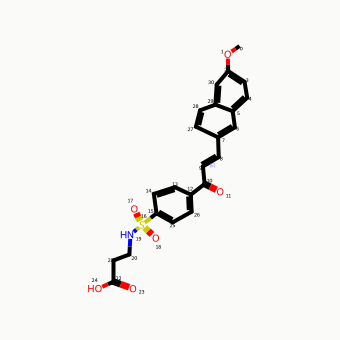 COc1ccc2cc(/C=C/C(=O)c3ccc(S(=O)(=O)NCCC(=O)O)cc3)ccc2c1